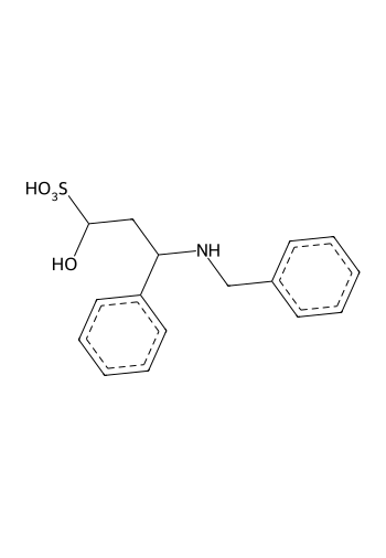 O=S(=O)(O)C(O)CC(NCc1ccccc1)c1ccccc1